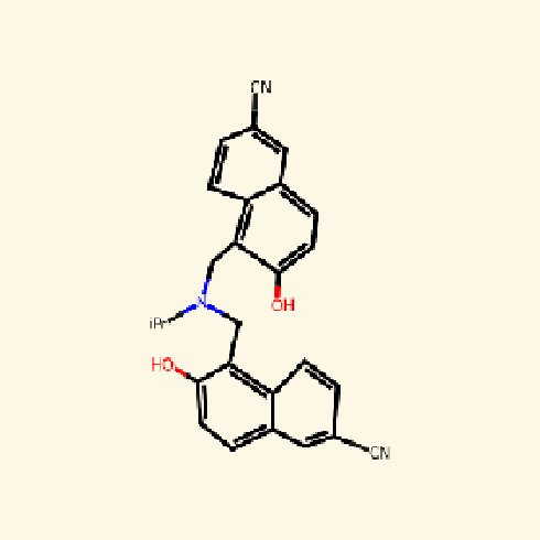 CC(C)N(Cc1c(O)ccc2cc(C#N)ccc12)Cc1c(O)ccc2cc(C#N)ccc12